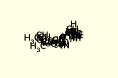 CN1CC(c2ccc(Cl)c(C(=O)N(COC(=O)OCCOCC(C)(C)CC(=O)OC(C)(C)C)C3(C#N)CC3)c2)=CN1c1[nH]nc(C(F)(F)C(F)(F)F)c1C(F)(F)F